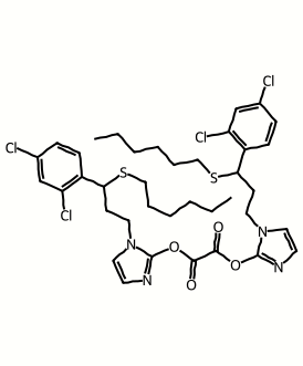 CCCCCCSC(CCn1ccnc1OC(=O)C(=O)Oc1nccn1CCC(SCCCCCC)c1ccc(Cl)cc1Cl)c1ccc(Cl)cc1Cl